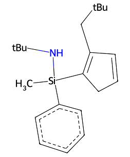 CC(C)(C)CC1=C([Si](C)(NC(C)(C)C)c2ccccc2)CC=C1